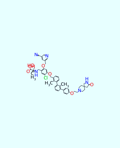 Cc1c(COc2cc(OCc3cncc(C#N)c3)c(CN[C@@](C)(CO)C(=O)O)cc2Cl)cccc1-c1cccc(-c2ccc(OCCN3CCC4(CC3)CNC(=O)C4)cc2)c1C